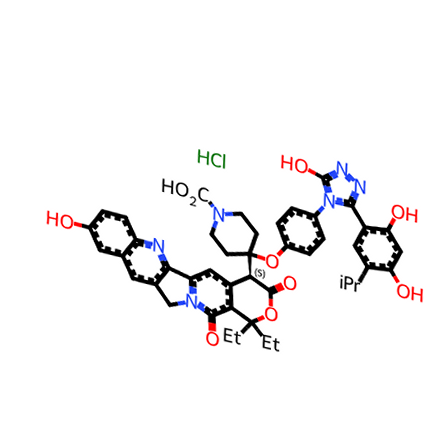 CCC1(CC)OC(=O)[C@H](C2(Oc3ccc(-n4c(O)nnc4-c4cc(C(C)C)c(O)cc4O)cc3)CCN(C(=O)O)CC2)c2cc3n(c(=O)c21)Cc1cc2cc(O)ccc2nc1-3.Cl